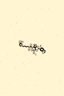 NC(=O)c1c(OCc2cc3c(cc2F)CCO3)nsc1NC(=O)NCCCCN1CC[C@@H](O)C1